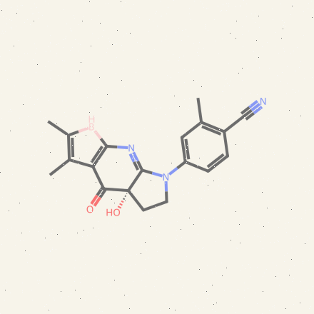 CC1=C(C)C2=C(B1)N=C1N(c3ccc(C#N)c(C)c3)CC[C@@]1(O)C2=O